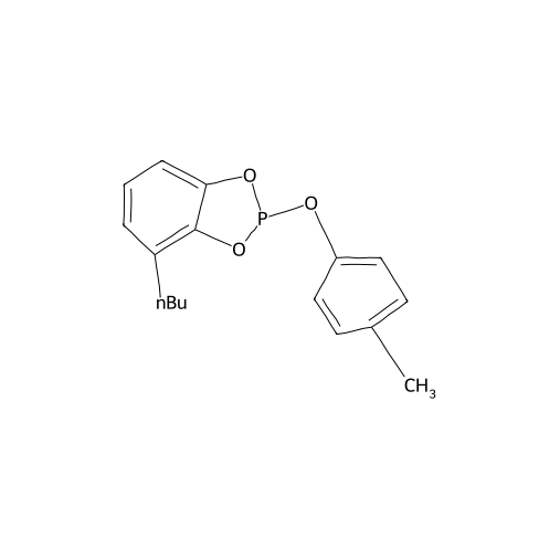 CCCCc1cccc2c1OP(Oc1ccc(C)cc1)O2